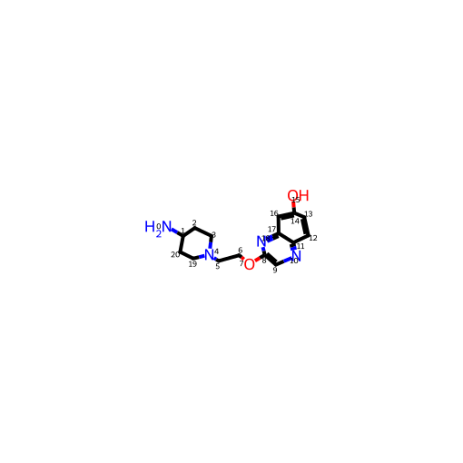 NC1CCN(CCOc2cnc3ccc(O)cc3n2)CC1